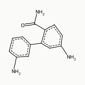 NC(=O)c1ccc(N)cc1-c1cccc(N)c1